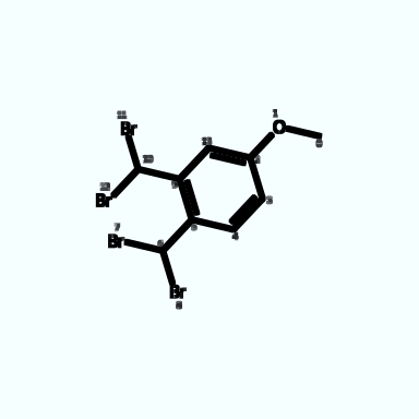 COc1ccc(C(Br)Br)c(C(Br)Br)c1